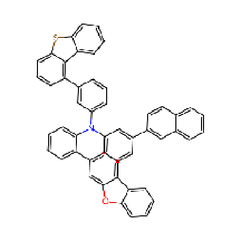 c1cc(-c2ccc3ccccc3c2)cc(N(c2cccc(-c3cccc4sc5ccccc5c34)c2)c2ccccc2-c2ccc3c(c2)oc2ccccc23)c1